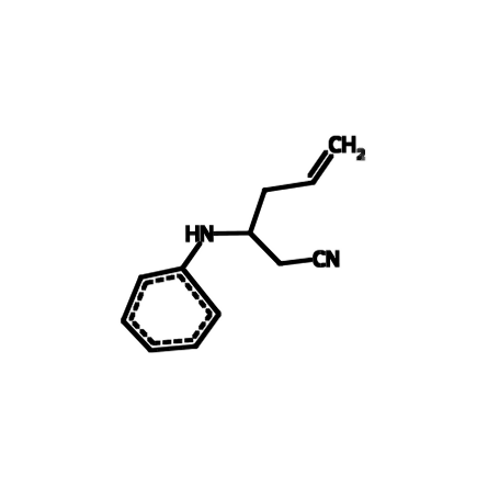 C=CCC(CC#N)Nc1ccccc1